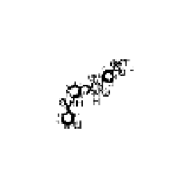 CC1(Cc2ccnc(NC(=O)c3cccc(Cl)c3)c2)NC(=O)N(c2ccc(S(=O)(=O)C(F)(F)F)cc2)C1=O